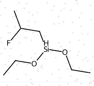 CCO[SiH](CC(C)F)OCC